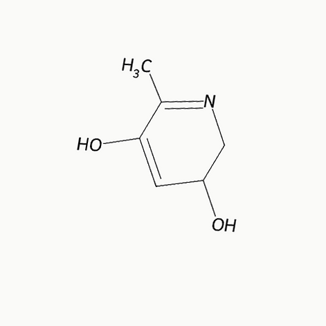 CC1=NCC(O)C=C1O